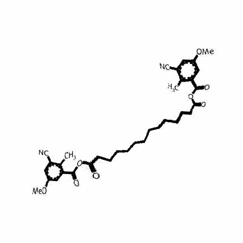 COc1cc(C#N)c(C)c(C(=O)OC(=O)CCCCCCCCCCCCC(=O)OC(=O)c2cc(OC)cc(C#N)c2C)c1